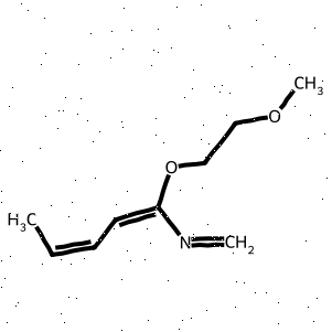 C=N/C(=C\C=C/C)OCCOC